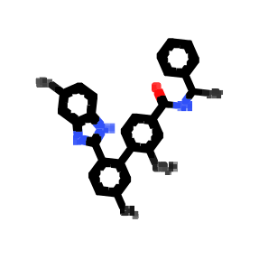 CCCC(NC(=O)c1ccc(-c2cc(C)ccc2-c2nc3cc(C(C)(C)C)ccc3[nH]2)c(C(=O)O)c1)c1ccccc1